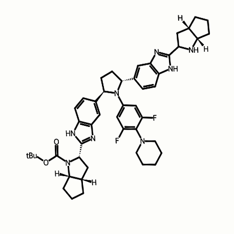 CC(C)(C)OC(=O)N1[C@H](c2nc3cc([C@H]4CC[C@H](c5ccc6[nH]c(C7C[C@@H]8CCC[C@@H]8N7)nc6c5)N4c4cc(F)c(N5CCCCC5)c(F)c4)ccc3[nH]2)C[C@@H]2CCC[C@@H]21